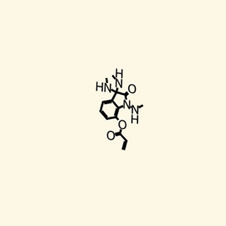 C=CC(=O)Oc1cccc2c1N(NC)C(=O)C2(NC)NC